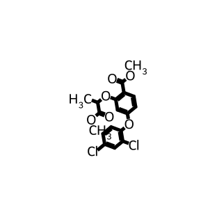 COC(=O)c1ccc(Oc2ccc(Cl)cc2Cl)cc1OC(C)C(=O)OC